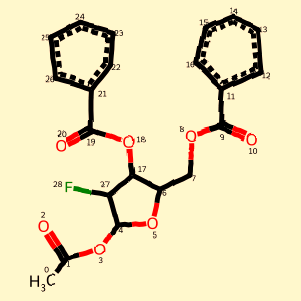 CC(=O)OC1OC(COC(=O)c2ccccc2)C(OC(=O)c2ccccc2)C1F